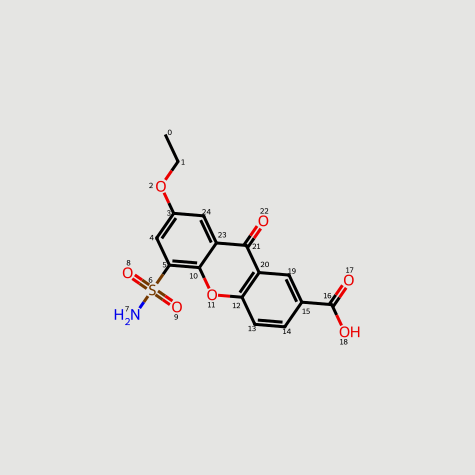 CCOc1cc(S(N)(=O)=O)c2oc3ccc(C(=O)O)cc3c(=O)c2c1